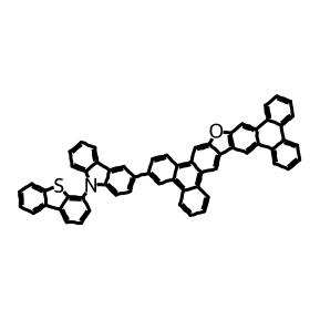 c1ccc2c(c1)sc1c(-n3c4ccccc4c4cc(-c5ccc6c(c5)c5ccccc5c5cc7c(cc65)oc5cc6c8ccccc8c8ccccc8c6cc57)ccc43)cccc12